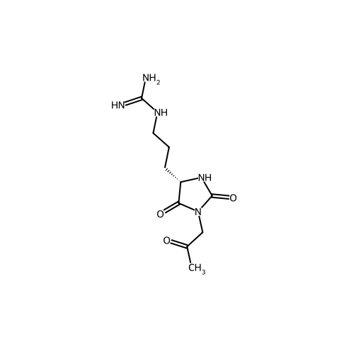 CC(=O)CN1C(=O)N[C@@H](CCCNC(=N)N)C1=O